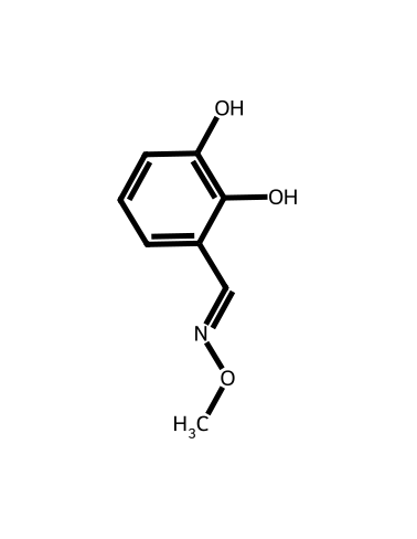 CON=Cc1cccc(O)c1O